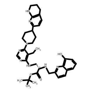 CCc1c(NC[C@H](NCc2ccc3cccc(O)c3n2)C(=O)OC(C)(C)C)ncnc1N1CCC(c2ccc3c(n2)NCCC3)CC1